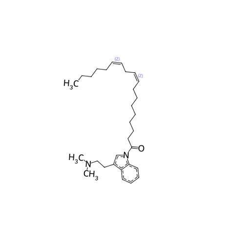 CCCCC/C=C\C/C=C\CCCCCCCC(=O)n1cc(CCN(C)C)c2ccccc21